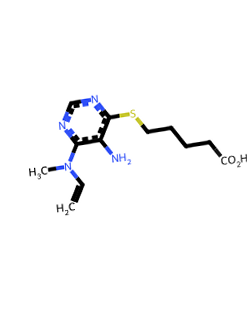 C=CN(C)c1ncnc(SCCCCC(=O)O)c1N